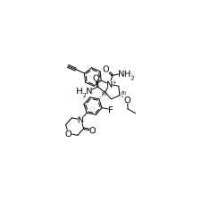 C#Cc1ccc([N+]2(C(N)=O)C[C@H](OCC)C[C@]2(C(N)=O)c2ccc(N3CCOCC3=O)cc2F)cc1